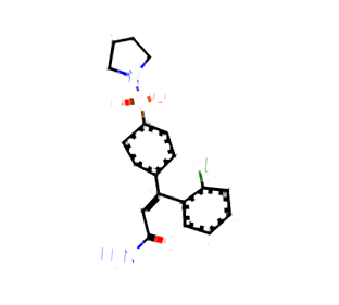 NC(=O)C=C(c1ccc(S(=O)(=O)N2CCCC2)cc1)c1ccccc1Cl